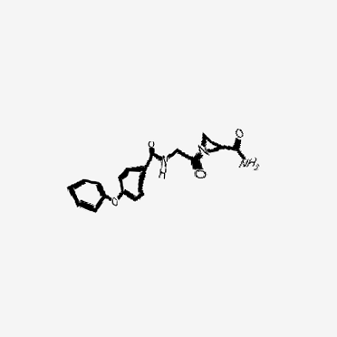 NC(=O)C1CN1C(=O)CNC(=O)c1ccc(Oc2ccccc2)cc1